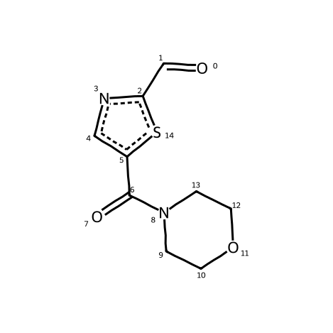 O=Cc1ncc(C(=O)N2CCOCC2)s1